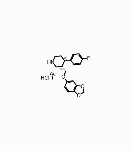 CC(C)=O.Cl.Fc1ccc([C@@H]2CCNC[C@H]2COc2ccc3c(c2)OCO3)cc1